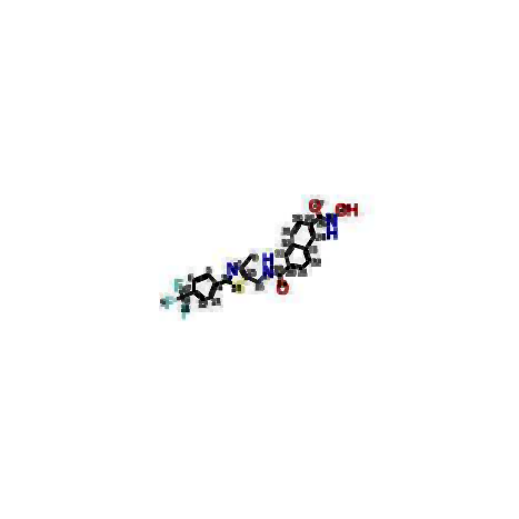 Cc1nc(-c2ccc(C(F)(F)F)cc2)sc1CNC(=O)c1ccc2cc(C(=O)NO)ccc2c1